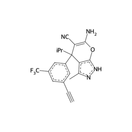 C#Cc1cc(C(F)(F)F)cc(C2(C(C)C)C(C#N)=C(N)Oc3[nH]nc(C)c32)c1